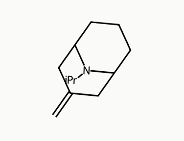 C=C1CC2CCCC(C1)N2C(C)C